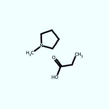 CCC(=O)O.CN1CCCC1